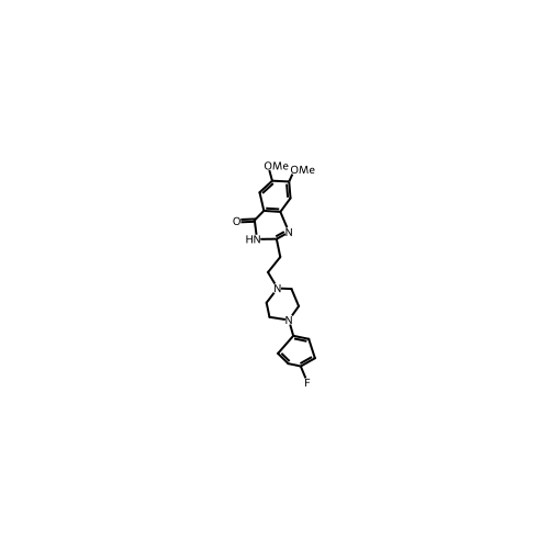 COc1cc2nc(CCN3CCN(c4ccc(F)cc4)CC3)[nH]c(=O)c2cc1OC